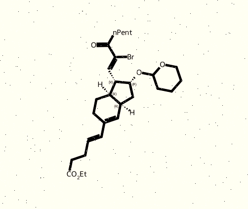 CCCCCC(=O)C(Br)=C[C@H]1[C@@H]2CCC(C=CCCC(=O)OCC)=C[C@@H]2C[C@H]1OC1CCCCO1